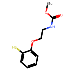 CC(C)(C)OC(=O)NCCOc1ccccc1S